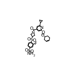 NS(=O)(=O)c1ccc(S(=O)(=O)C2CN(C(=O)c3cc(OOC4CC=CCC4)nc(C4CC4)c3)C2)c(F)c1